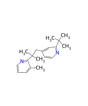 Cc1cccnc1C(C)(C)Cc1ccnc(C(C)(C)C)c1